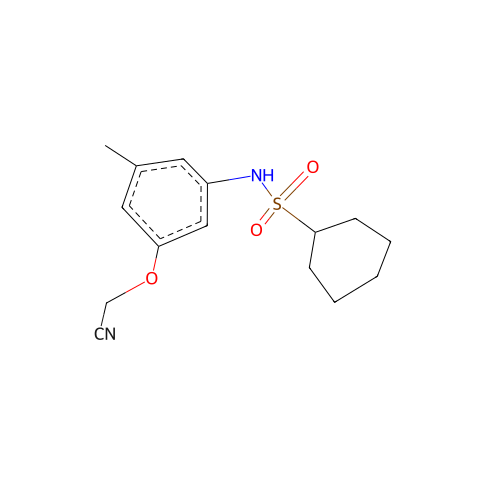 Cc1cc(NS(=O)(=O)C2CCCCC2)cc(OCC#N)c1